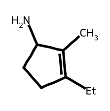 CCC1=C(C)C(N)CC1